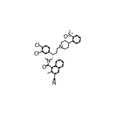 Cc1c(C#N)cc2ccccc2c1C(=O)N(C)C[C@@H](CCN1CCC(c2ccccc2[S@+](C)[O-])CC1)c1ccc(Cl)c(Cl)c1